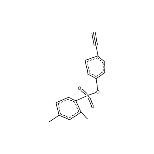 C#Cc1ccc(OS(=O)(=O)c2ccc(C)cc2C)nc1